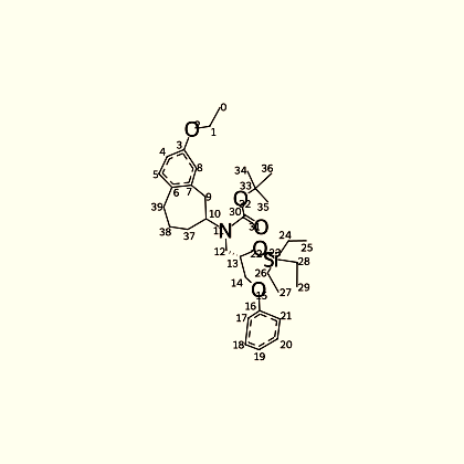 CCOc1ccc2c(c1)CC(N(C[C@@H](COc1ccccc1)O[Si](CC)(CC)CC)C(=O)OC(C)(C)C)CCC2